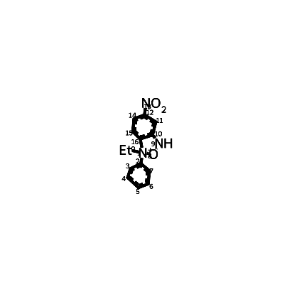 CC[N+]1(c2ccccc2)ONc2cc([N+](=O)[O-])ccc21